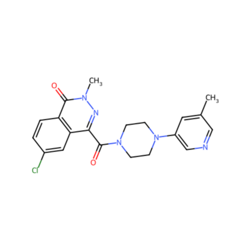 Cc1cncc(N2CCN(C(=O)c3nn(C)c(=O)c4ccc(Cl)cc34)CC2)c1